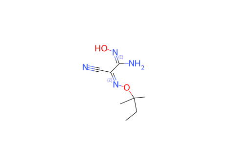 CCC(C)(C)O/N=C(C#N)\C(N)=N/O